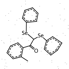 Cc1ccccc1C(=O)C([Se]c1ccccc1)[Se]c1ccccc1